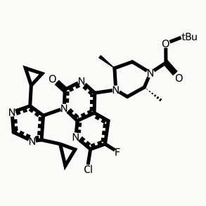 C[C@@H]1CN(c2nc(=O)n(-c3c(C4CC4)ncnc3C3CC3)c3nc(Cl)c(F)cc23)[C@@H](C)CN1C(=O)OC(C)(C)C